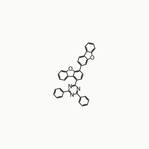 c1ccc(-c2nc(-c3ccccc3)nc(-c3ccc(-c4ccc5c(c4)oc4ccccc45)c4oc5ccccc5c34)n2)cc1